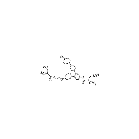 C=C(CO)C(=O)OCCOC1CCC(c2ccc(OC(=O)C(C)CO)cc2C2CCC(C3CCC(CC)CC3)CC2)CC1